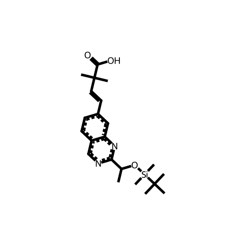 CC(O[Si](C)(C)C(C)(C)C)c1ncc2ccc(/C=C/C(C)(C)C(=O)O)cc2n1